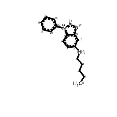 CCCCCNc1ccc2c(c1)nnn2-c1ccccc1